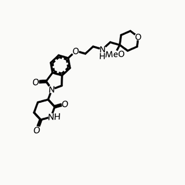 COC1(CNCCOc2ccc3c(c2)CN(C2CCC(=O)NC2=O)C3=O)CCOCC1